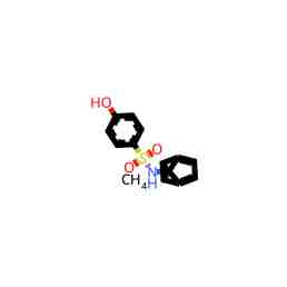 C.O=S(=O)(NC1C2=CC=C1C=C2)c1ccc(O)cc1